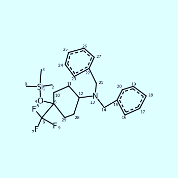 C[Si](C)(C)OC1(C(F)(F)F)CCC(N(Cc2ccccc2)Cc2ccccc2)CC1